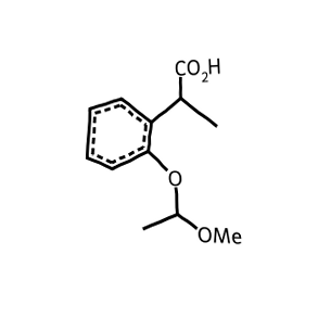 COC(C)Oc1ccccc1C(C)C(=O)O